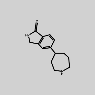 O=C1NCc2cc(C3CCCNCC3)ccc21